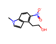 Cn1ccc2c(CCO)c([N+](=O)[O-])ccc21